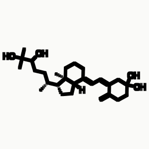 C=C1CCC(O)(O)C/C1=C/C=C1\CCC[C@]2(C)[C@@H]([C@H](C)CCC(O)C(C)(C)O)CC[C@@H]12